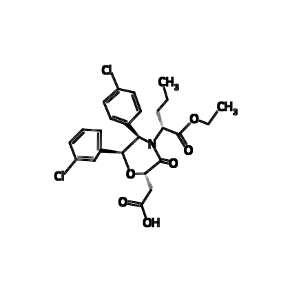 CCC[C@H](C(=O)OCC)N1C(=O)[C@H](CC(=O)O)O[C@@H](c2cccc(Cl)c2)[C@H]1c1ccc(Cl)cc1